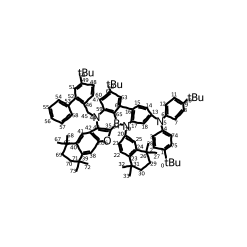 CC(C)(C)c1ccc(N(c2ccc(C(C)(C)C)cc2)c2ccc3c(c2)N(c2ccc4c(c2)C(C)(C)CCC4(C)C)B2c4oc5cc6c(cc5c4N(Cc4ccc(C(C)(C)C)cc4-c4ccccc4)c4cc(C(C)(C)C)cc-3c42)C(C)(C)CCC6(C)C)cc1